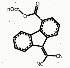 CCCCCCCCOC(=O)c1cccc2c1-c1ccccc1C2=C(C#N)C#N